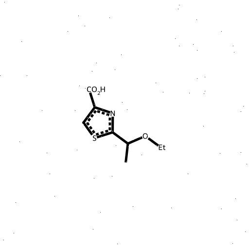 CCOC(C)c1nc(C(=O)O)cs1